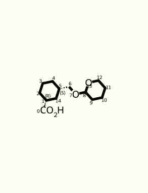 O=C(O)[C@@H]1CCC[C@H](COC2CCCCO2)C1